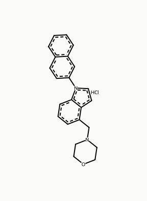 Cl.c1ccc2cc(-n3ccc4c(CN5CCOCC5)cccc43)ccc2c1